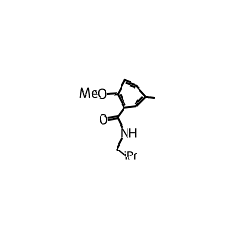 COc1ccc(C)cc1C(=O)NCC(C)C